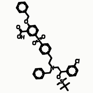 CC(C)(C)[Si](C)(C)O[C@@H](CN(CCc1ccc(S(=O)(=O)c2ccc(OCc3ccccc3)c(C(=O)O)c2)cc1)Cc1ccccc1)c1cccc(Cl)c1